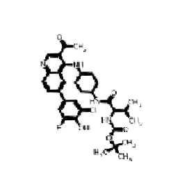 CC(=O)c1cnc2ccc(-c3cc(F)c(O)c(Cl)c3)cc2c1NC1CCC(NC(=O)C(NC(=O)OC(C)(C)C)C(C)C)CC1